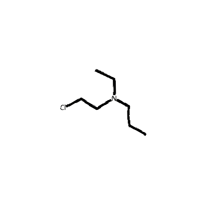 CCCN(CC)CCCl